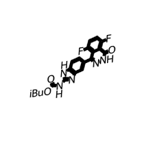 CC(C)COC(=O)Nc1nc2cc(-c3n[nH]c(=O)c4c(F)ccc(F)c34)ccc2[nH]1